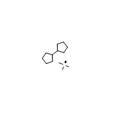 C1CCC(C2CCCC2)C1.O=P(Cl)(Cl)Cl